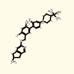 CC1Cc2cnc(OCc3cc(-c4ccc(N5CCC(C(C)(C)O)CC5)cc4F)c(C(F)(F)F)cc3F)cc2C1